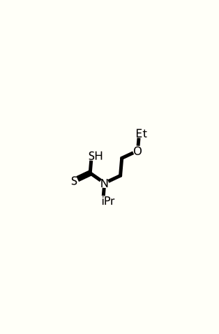 CCOCCN(C(=S)S)C(C)C